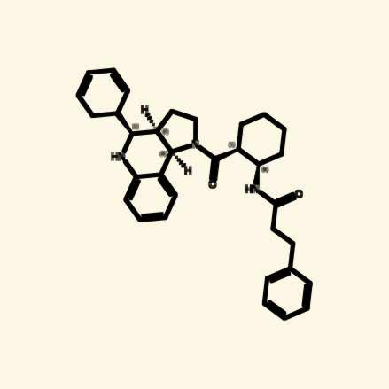 O=C(CCc1ccccc1)N[C@@H]1CCCC[C@@H]1C(=O)N1CC[C@@H]2[C@H](C3C=CC=CC3)Nc3ccccc3[C@@H]21